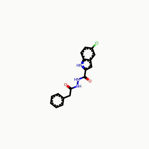 O=C(Cc1ccccc1)NNC(=O)c1cc2cc(Cl)ccc2[nH]1